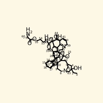 CCC1(O)CC2C[N@](CCc3c([nH]c4ccccc34)[C@@](C(=O)OC)(c3cc4c(cc3OC)N(C)C3[C@]45CCN4CC=C[C@](CC)(C45)[C@@H](O)[C@]3(O)C(=O)NCCCOC(=O)[C@H](C)N)C2)C1